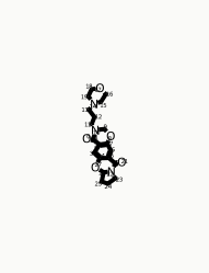 O=C1c2cc3c(cc2OCN1CCCN1CCOCC1)C(=O)N1CCCC1O3